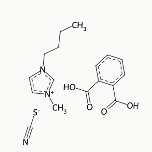 CCCCn1cc[n+](C)c1.N#C[S-].O=C(O)c1ccccc1C(=O)O